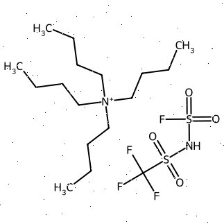 CCCC[N+](CCCC)(CCCC)CCCC.O=S(=O)(F)NS(=O)(=O)C(F)(F)F